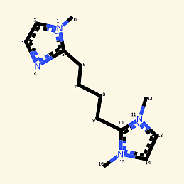 Cn1ccnc1CCCCc1n(C)cc[n+]1C